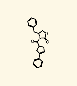 O=C1OCC(Cc2ccccc2)N1C(=O)C1CC=C(c2ccccc2)C1